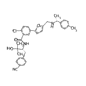 Cc1ccc([C@@H](C)NCc2ccc(-c3ccc(Cl)c(C(=O)N[C@H](Cc4ccc(C#N)cc4)C(C)(C)O)c3)o2)cc1